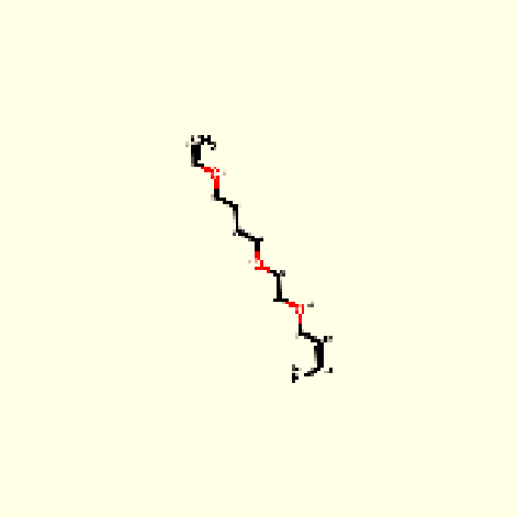 C=COCCCCOCCOC/C=C\CC